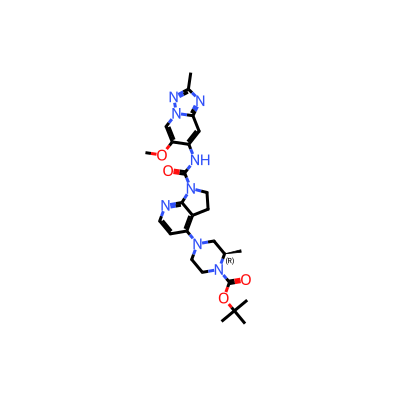 COc1cn2nc(C)nc2cc1NC(=O)N1CCc2c(N3CCN(C(=O)OC(C)(C)C)[C@H](C)C3)ccnc21